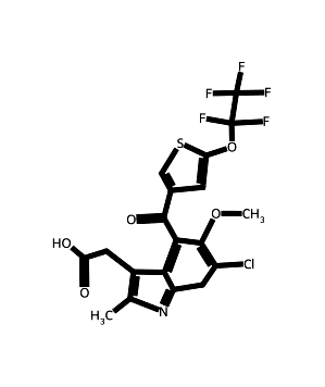 COC1=C(Cl)CC2=NC(C)=C(CC(=O)O)C2=C1C(=O)c1csc(OC(F)(F)C(F)(F)F)c1